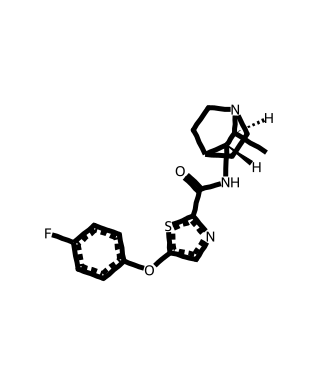 C[C@H]1[C@H](NC(=O)c2ncc(Oc3ccc(F)cc3)s2)C2CCN1CC2